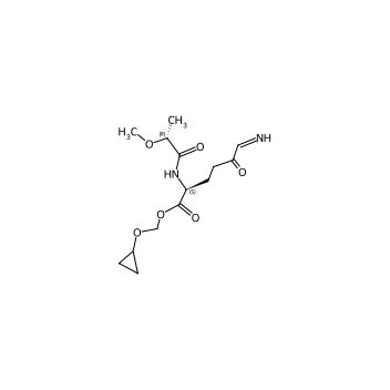 CO[C@H](C)C(=O)N[C@@H](CCC(=O)C=N)C(=O)OCOC1CC1